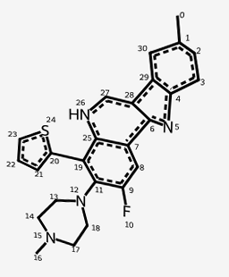 Cc1ccc2nc3c4cc(F)c(N5CCN(C)CC5)c(-c5cccs5)c4[nH]cc-3c2c1